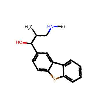 CCNCC(C)C(O)c1ccc2sc3ccccc3c2c1